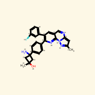 Cc1cc2ncc3cc(-c4cccc(F)c4)c(-c4ccc(C5(N)CC(C)(O)C5)cc4)nc3n2n1